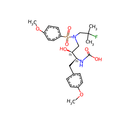 COc1ccc(C[C@H](NC(=O)O)[C@@H](O)CN(CC(C)(C)F)S(=O)(=O)c2ccc(OC)cc2)cc1